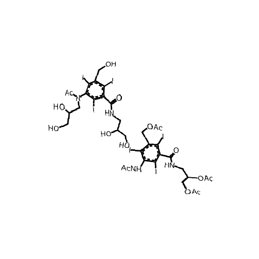 CC(=O)N(CC(O)CO)c1c(I)c(CO)c(I)c(C(=O)NCC(O)CO)c1I.CC(=O)Nc1c(I)c(COC(C)=O)c(I)c(C(=O)NCC(COC(C)=O)OC(C)=O)c1I